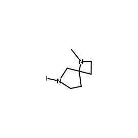 CN1CCC12CCN(I)C2